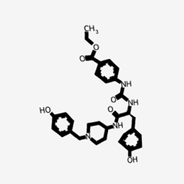 CCOC(=O)c1ccc(NC(=O)N[C@@H](Cc2ccc(O)cc2)C(=O)NC2CCN(Cc3ccc(O)cc3)CC2)cc1